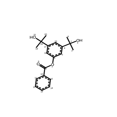 CC(C)(O)c1cc(OC(=O)c2ccccc2)cc(C(C)(C)O)c1